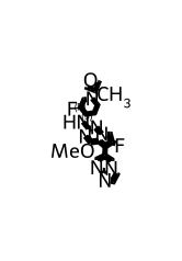 COc1nc(N[C@H]2CCN(C3(C)COC3)C[C@H]2F)nn2cc(F)c(-c3cnc4nccn4c3)c12